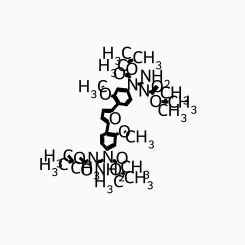 COc1cc(N(C(=O)OC(C)(C)C)C(N)=NC(=O)OC(C)(C)C)ccc1-c1ccc(-c2ccc(N(C(=O)OC(C)(C)C)C(N)=NC(=O)OC(C)(C)C)cc2OC)o1